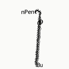 CCCCC/C=C\C/C=C\CCCCCCCC(=O)OCCCCCCCCCCCCCCCCCCCCCCCCCCCCCCCCCCCCC(C)CC